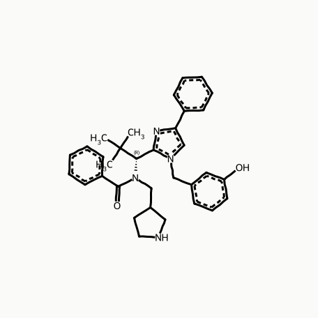 CC(C)(C)[C@H](c1nc(-c2ccccc2)cn1Cc1cccc(O)c1)N(CC1CCNC1)C(=O)c1ccccc1